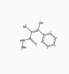 CCCCNC(=O)/C(C#N)=C(/O)c1ccccc1